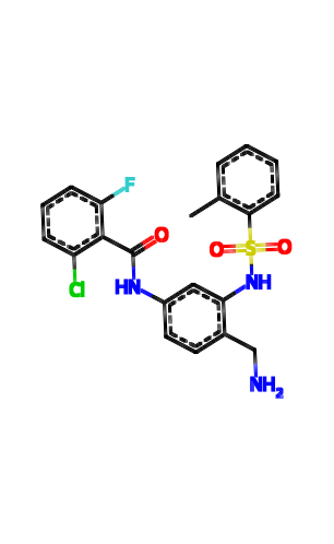 Cc1ccccc1S(=O)(=O)Nc1cc(NC(=O)c2c(F)cccc2Cl)ccc1CN